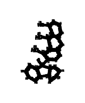 CC1(c2ccc3cc4cccc(O)c4c(O)c3c2O)c2ccccc2-c2ccccc21